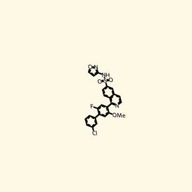 COc1cc(-c2cccc(Cl)c2)c(F)cc1-c1nccc2cc(S(=O)(=O)Nc3ccon3)ccc12